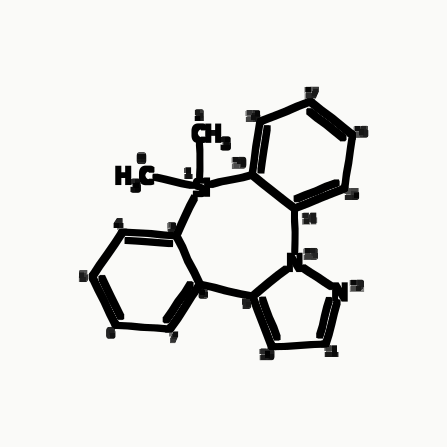 C[Si]1(C)c2ccccc2-c2ccnn2-c2ccccc21